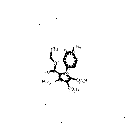 Cc1ccc(-n2c(C(=O)O)c(C(=O)O)c(C(=O)O)c2C(=O)OCC(C)(C)C)cc1